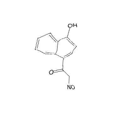 O=NCC(=O)c1ccc(O)c2ccccc12